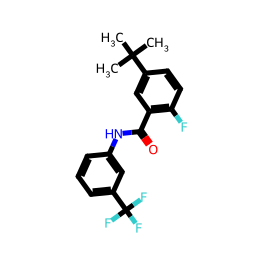 CC(C)(C)c1ccc(F)c(C(=O)Nc2cccc(C(F)(F)F)c2)c1